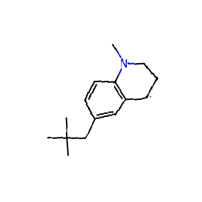 CN1CC[CH]c2cc(CC(C)(C)C)ccc21